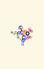 CC(C)C[C@H](NC(=O)[C@H](Cc1c[nH]cn1)Nc1ccc([N+](=O)[O-])cc1[N+](=O)[O-])[C@@H](O)c1nccs1